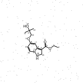 CCOC(=O)C1=C2C=C(OCC(C)(C)O)C=CN2NC1